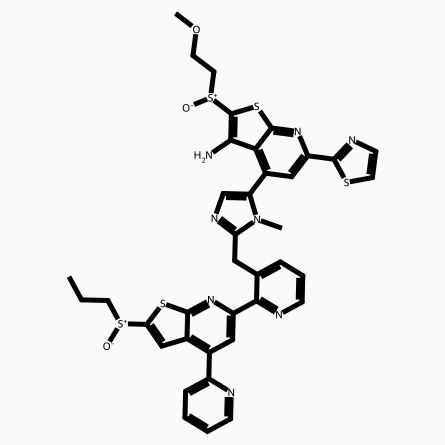 CCC[S+]([O-])c1cc2c(-c3ccccn3)cc(-c3ncccc3Cc3ncc(-c4cc(-c5nccs5)nc5sc([S+]([O-])CCOC)c(N)c45)n3C)nc2s1